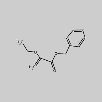 C=C(OCC)C(=O)OCc1ccccc1